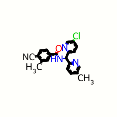 Cc1ccc([C@@H](NC(=O)c2ccc(C#N)c(C)c2)c2ccc(Cl)cn2)nc1